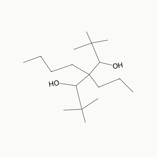 CCCCC(CCC)(C(O)C(C)(C)C)C(O)C(C)(C)C